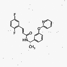 C[C@H](NC(=O)/C=C/c1cc(F)ccc1F)c1cccc(Oc2ccccn2)c1